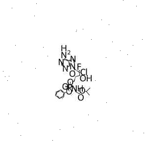 CC(C)OC(=O)[C@H](C)N[P@](=O)(OC[C@H]1O[C@@H](n2cnc3c(N)ncnc32)[C@](F)(Cl)[C@@H]1O)Oc1ccccc1